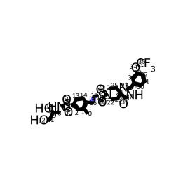 Cc1cc(S(=O)(=O)NC[C@@H](O)CO)ccc1/C=C/S(=O)(=O)N1CCC2(CC1)N=C(c1cccc(OC(F)(F)F)c1)NC2=O